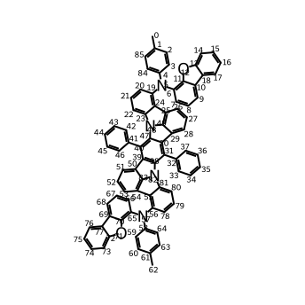 Cc1ccc(N(c2cccc3c2oc2ccccc23)c2cccc3c2c2cccc4c5c(-c6ccccc6)c6c(c(-c7ccccc7)c5n3c24)c2cccc3c4c(N(c5ccc(C)cc5)c5cccc7c5oc5ccccc57)cccc4n6c32)cc1